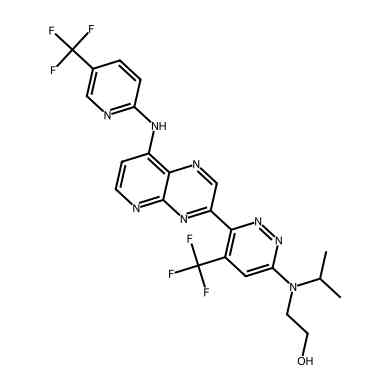 CC(C)N(CCO)c1cc(C(F)(F)F)c(-c2cnc3c(Nc4ccc(C(F)(F)F)cn4)ccnc3n2)nn1